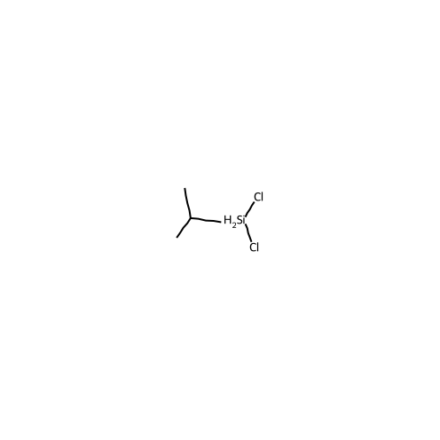 CC(C)C.Cl[SiH2]Cl